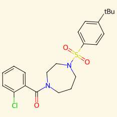 CC(C)(C)c1ccc(S(=O)(=O)N2CCCN(C(=O)c3ccccc3Cl)CC2)cc1